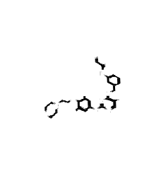 C=CC(=O)Nc1cccc(CNc2nc(Nc3cc(F)c(OCCN4CCOCC4)c(F)c3)ncc2Cl)c1